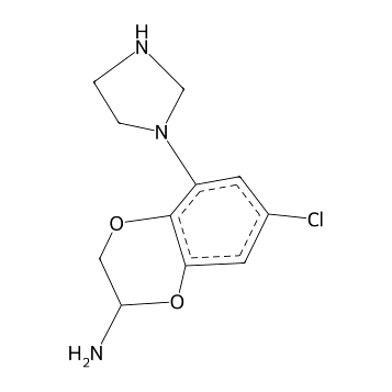 NC1COc2c(cc(Cl)cc2N2CCNC2)O1